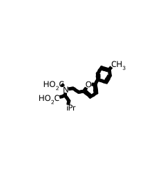 Cc1ccc(-c2ccc(CCN(C(=O)O)C(CC(C)C)C(=O)O)o2)cc1